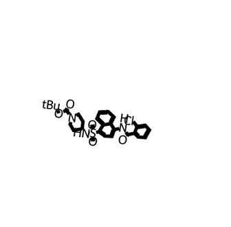 CC(C)(C)OC(=O)N1CCC(NS(=O)(=O)c2ccc(NC(=O)c3ccccc3Cl)c3ccccc23)CC1